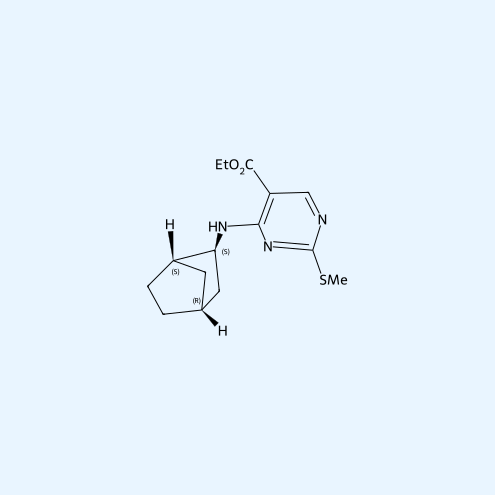 CCOC(=O)c1cnc(SC)nc1N[C@H]1C[C@@H]2CC[C@H]1C2